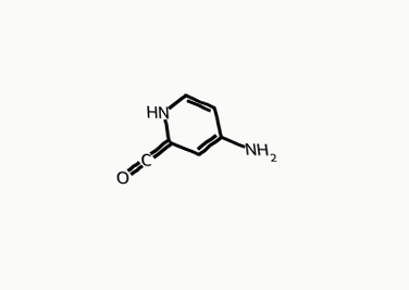 NC1=CC(=C=O)NC=C1